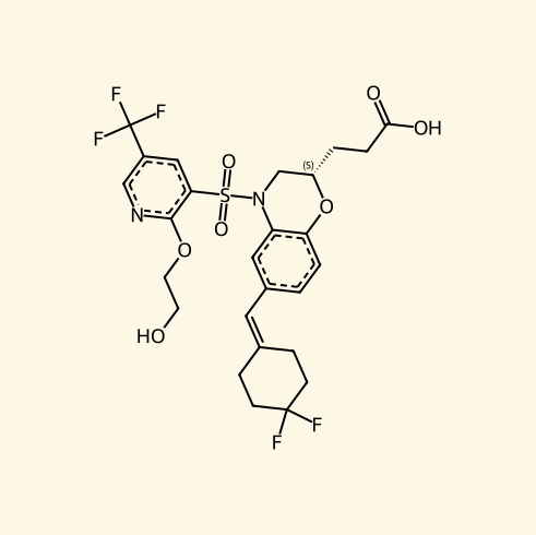 O=C(O)CC[C@H]1CN(S(=O)(=O)c2cc(C(F)(F)F)cnc2OCCO)c2cc(C=C3CCC(F)(F)CC3)ccc2O1